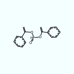 C=C(O[PH](=O)OC(=C)c1ccccc1)c1ccccc1